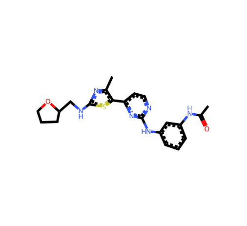 CC(=O)Nc1cccc(Nc2nccc(-c3sc(NCC4CCCO4)nc3C)n2)c1